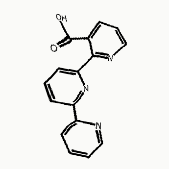 O=C(O)c1cccnc1-c1cccc(-c2ccccn2)n1